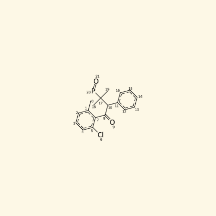 Cc1cccc(Cl)c1C(=O)C(c1ccccc1)C(C)(C)P=O